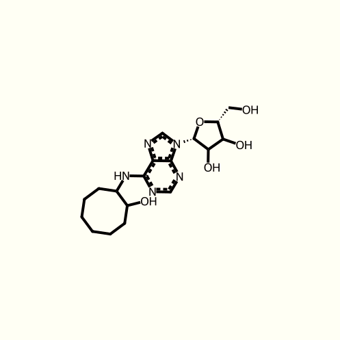 OC[C@H]1O[C@@H](n2cnc3c(NC4CCCCCCC4O)ncnc32)C(O)C1O